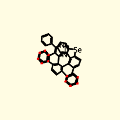 c1ccc(-c2ccc(-c3ccccc3)c(-c3c(-c4ccccc4)ccc4[se]c5ccccc5c34)c2-c2nnnc(-c3ccccc3)c2-c2ccccc2)cc1